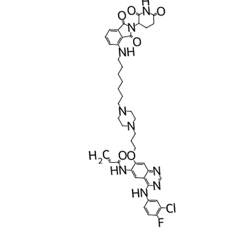 C=CC(=O)Nc1cc2c(Nc3ccc(F)c(Cl)c3)ncnc2cc1OCCCN1CCN(CCCCCCCNc2cccc3c2C(=O)N(C2CCC(=O)NC2=O)C3=O)CC1